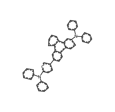 c1ccc(N(c2ccccc2)c2ccc(-c3ccc4c5ccc(N(c6ccccc6)c6ccccc6)cc5c5ccccc5c4c3)cc2)cc1